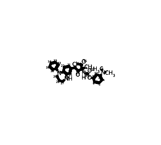 CN(C)c1cccc(OC(=O)NC(C)(C(=O)Cl)C(=O)Cc2ccc3c(c2)NCCCN3c2ccccc2)c1